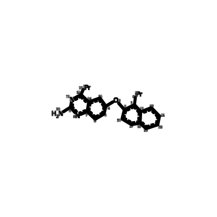 CC(C)c1c(Oc2ccc3nc(N)nc(C(C)C)c3c2)ccc2ccccc12